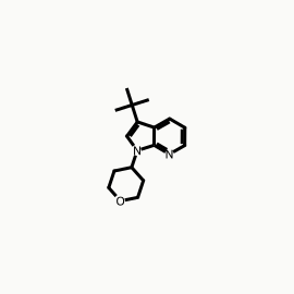 CC(C)(C)c1cn(C2CCOCC2)c2ncccc12